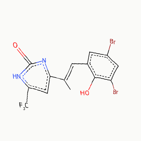 CC(=Cc1cc(Br)cc(Br)c1O)c1cc(C(F)(F)F)[nH]c(=O)n1